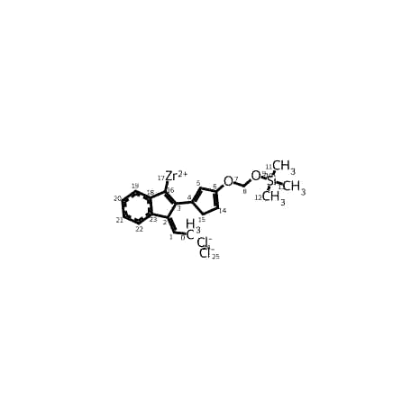 CC=C1C(C2=CC(OCO[Si](C)(C)C)=CC2)=[C]([Zr+2])c2ccccc21.[Cl-].[Cl-]